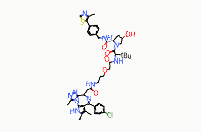 Cc1ncsc1-c1ccc(CNC(=O)[C@@H]2C[C@@H](O)CN2C(=O)C(NC(=O)COCCCNC(=O)CC2N=C(c3ccc(Cl)cc3)c3c([nH]c(C)c3C)-n3c(C)nnc32)C(C)(C)C)cc1